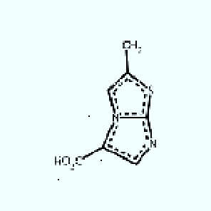 Cc1cn2c(C(=O)O)cnc2s1